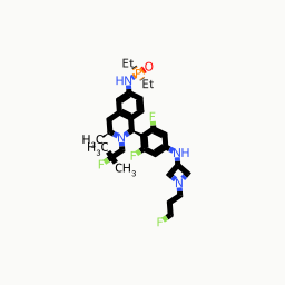 CCP(=O)(CC)Nc1ccc2c(c1)C[C@@H](C)N(CC(C)(C)F)[C@@H]2c1c(F)cc(NC2CN(CCCF)C2)cc1F